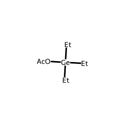 C[CH2][Ge]([CH2]C)([CH2]C)[O]C(C)=O